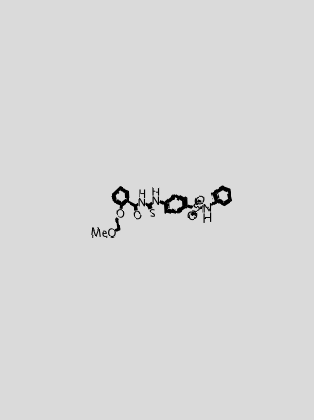 COCCOc1ccccc1C(=O)NC(=S)Nc1ccc(S(=O)(=O)Nc2ccccc2)cc1